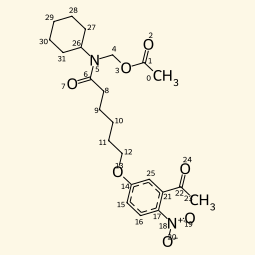 CC(=O)OCN(C(=O)CCCCCOc1ccc([N+](=O)[O-])c(C(C)=O)c1)C1CCCCC1